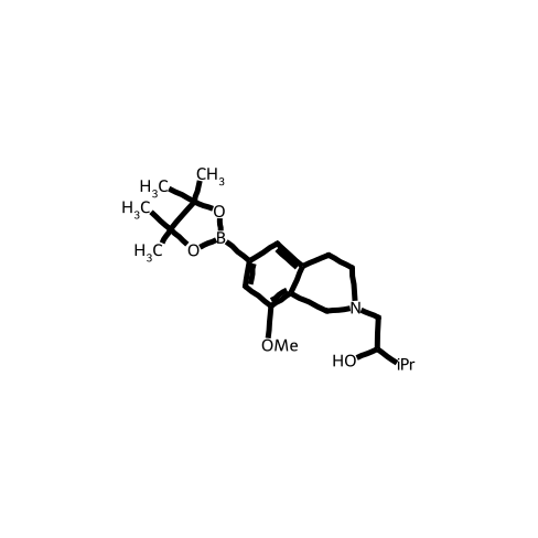 COc1cc(B2OC(C)(C)C(C)(C)O2)cc2c1CN(CC(O)C(C)C)CC2